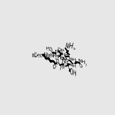 CCCCCCCCCCCCCCCC(=O)NCC(=O)N[C@@H](CO)C(=O)N[C@@H](CCC(N)=O)C(O)N[C@@H](CCCCN)C(O)NC(CO)C(O)N[C@@H](CCCC)C(O)NC